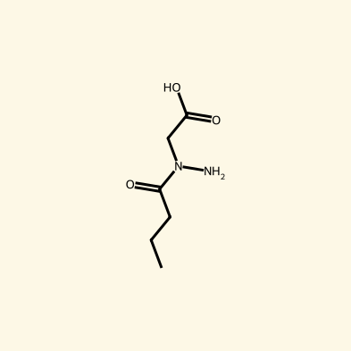 CCCC(=O)N(N)CC(=O)O